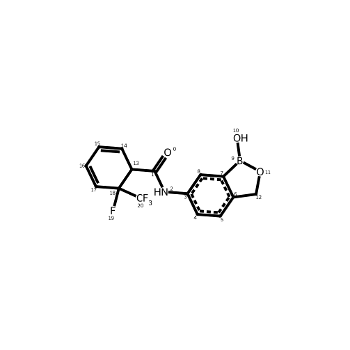 O=C(Nc1ccc2c(c1)B(O)OC2)C1C=CC=CC1(F)C(F)(F)F